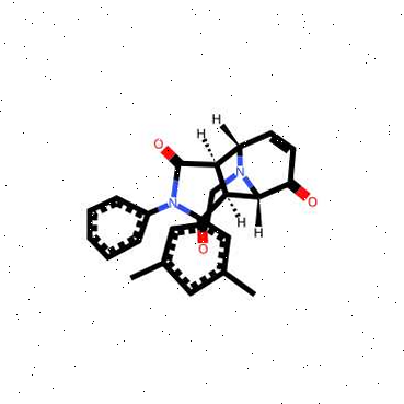 Cc1cc(C)cc(CN2[C@@H]3C(=O)C=C[C@H]2[C@@H]2C(=O)N(c4ccccc4)C(=O)[C@@H]23)c1